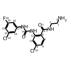 NCCNC(=O)c1ccc(Cl)cc1NC(=O)Nc1cc(F)cc(Cl)c1